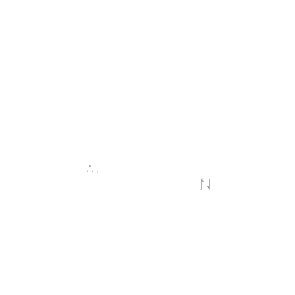 CC(=O)C1=CC(c2ccncc2)=C(c2ccccc2)C1